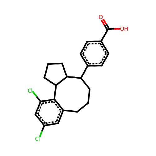 O=C(O)c1ccc(C2CCCc3cc(Cl)cc(Cl)c3C3CCCC23)cc1